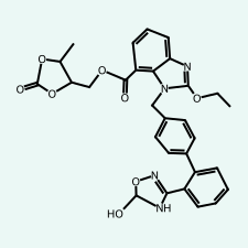 CCOc1nc2cccc(C(=O)OCC3OC(=O)OC3C)c2n1Cc1ccc(-c2ccccc2C2=NOC(O)N2)cc1